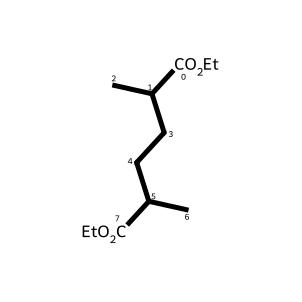 CCOC(=O)C(C)CCC(C)C(=O)OCC